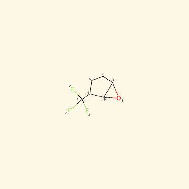 FC(F)(F)C1CCC2OC21